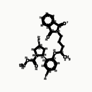 CC(CCCN1C(=O)c2ccccc2C1=O)Oc1ccc(F)cc1[C@H]1C[C@H](F)CN1C(=O)OC(C)(C)C